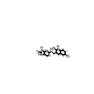 O=c1[nH]c2cnc(NCc3cc4cc(Cl)ccc4[nH]c3=O)nc2[nH]1